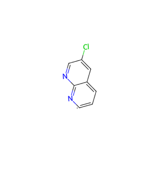 Clc1cnc2n[c]ccc2c1